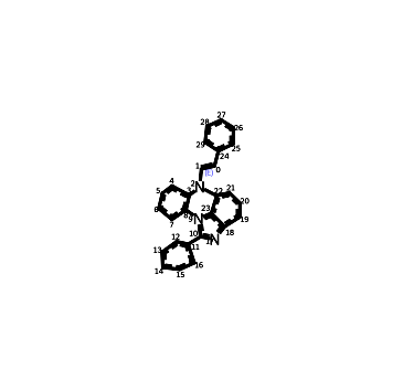 C(=C\N1c2ccccc2-n2c(-c3ccccc3)nc3cccc1c32)/c1ccccc1